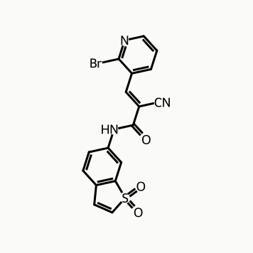 N#CC(=Cc1cccnc1Br)C(=O)Nc1ccc2c(c1)S(=O)(=O)C=C2